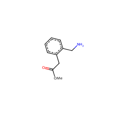 COC(=O)Cc1ccccc1CN